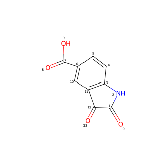 O=C1Nc2ccc(C(=O)O)cc2C1=O